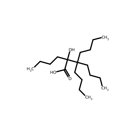 CCCCC(CCCC)(CCCC)C(O)(CCCC)C(=O)O